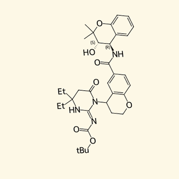 CCC1(CC)CC(=O)N(C2CCOc3ccc(C(=O)N[C@@H]4c5ccccc5OC(C)(C)[C@H]4O)cc32)C(=NC(=O)OC(C)(C)C)N1